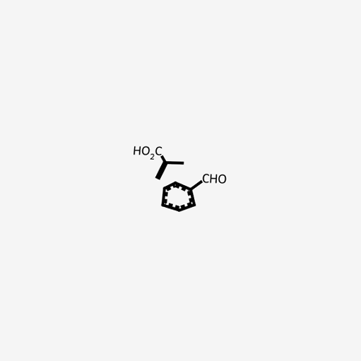 C=C(C)C(=O)O.O=Cc1ccccc1